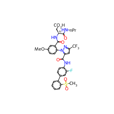 CCCNC(=O)[C@H](CC(=O)O)NC(=O)c1cc(OC)ccc1-n1nc(C(F)(F)F)cc1C(=O)Nc1ccc(-c2ccccc2S(C)(=O)=O)cc1F